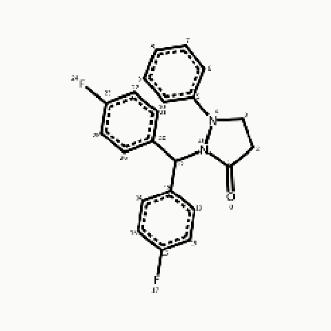 O=C1CCN(c2ccccc2)N1C(c1ccc(F)cc1)c1ccc(F)cc1